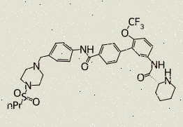 CCCS(=O)(=O)N1CCN(Cc2ccc(NC(=O)c3ccc(-c4cc(NC(=O)[C@H]5CCCCN5)ccc4OC(F)(F)F)cc3)cc2)CC1